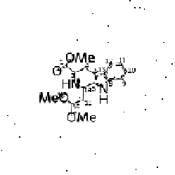 COC(=O)C1Cc2c([nH]c3ccccc23)C(CC(OC)OC)N1